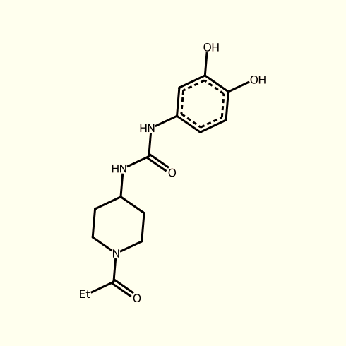 CCC(=O)N1CCC(NC(=O)Nc2ccc(O)c(O)c2)CC1